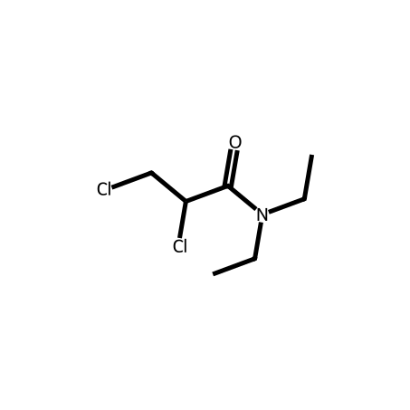 CCN(CC)C(=O)C(Cl)CCl